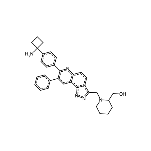 NC1(c2ccc(-c3nc4ccn5c(CN6CCCCC6CO)nnc5c4cc3-c3ccccc3)cc2)CCC1